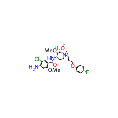 COc1cc(N)c(Cl)cc1C(=O)N[C@@H]1CC[N+](C)(CCCOc2ccc(F)cc2)C[C@@H]1OC.O.[I-]